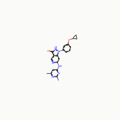 Cc1cc(Nc2cc3c(cn2)c(=O)[nH]n3-c2cccc(OC3CC3)c2)nc(C)n1